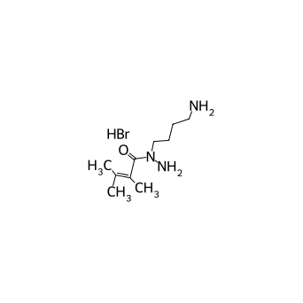 Br.CC(C)=C(C)C(=O)N(N)CCCCN